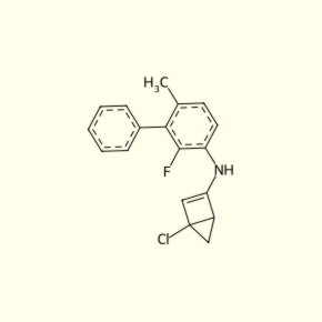 Cc1ccc(NC2=CC3(Cl)CC23)c(F)c1-c1ccccc1